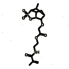 C=C(C)C(=O)NCCOC(=O)COC1C2CC3C1OS(=O)(=O)C3C2C